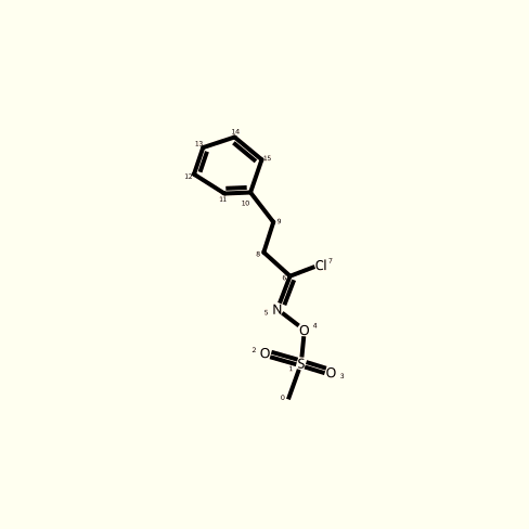 CS(=O)(=O)ON=C(Cl)CCc1ccccc1